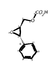 O=C(O)OC[C@@H]1O[C@H]1c1ccccc1